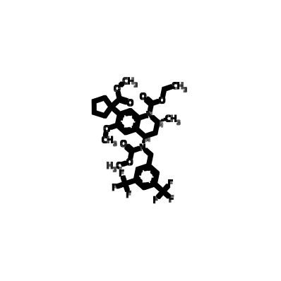 CCOC(=O)N1c2cc(C3(C(=O)OC)CCCC3)c(OC)cc2[C@@H](N(Cc2cc(C(F)(F)F)cc(C(F)(F)F)c2)C(=O)OC)C[C@H]1C